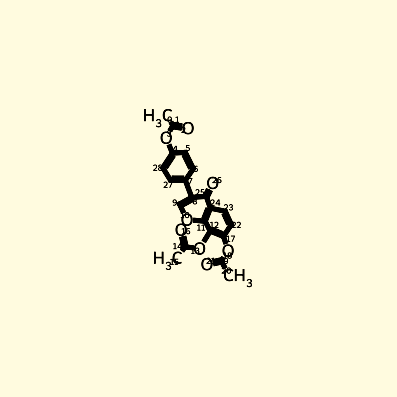 CC(=O)Oc1ccc(-c2coc3c(OC(C)=O)c(OC(C)=O)ccc3c2=O)cc1